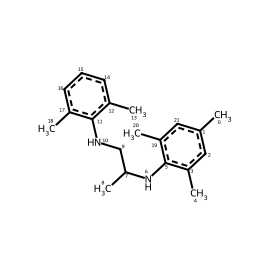 Cc1cc(C)c(NC(C)CNc2c(C)cccc2C)c(C)c1